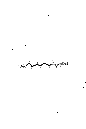 CCCCCCCCCCCCCCCCOOCCCCCCCC